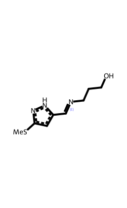 CSc1cc(/C=N/CCCO)[nH]n1